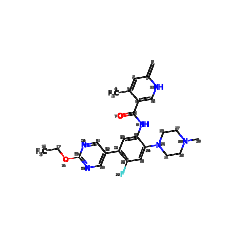 C=C1C=C(C(F)(F)F)C(C(=O)Nc2cc(-c3cnc(OCC(F)(F)F)nc3)c(F)cc2N2CCN(C)CC2)=CN1